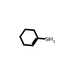 [SiH3]C1=CCCCC1